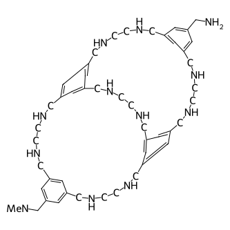 CNCc1cc2cc(c1)CNCCNCc1cc3cc(c1)CNCCNCc1cc(cc(c1)CNCCNC2)CNCCNCc1cc(CN)cc(c1)CNCCNC3